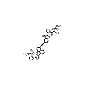 COC(=O)NC(C(=O)N1CCC[C@H]1c1nc2ccc(C#Cc3cccc4c(-c5cnc([C@@H]6CCCN6C(=O)[C@@H](N)C(C)C)[nH]5)cccc34)cc2[nH]1)C(C)C